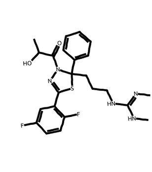 CN=C(NC)NCCCC1(c2ccccc2)SC(c2cc(F)ccc2F)=NN1C(=O)C(C)O